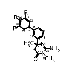 CN1C(=O)CC(C)(c2cccc(C3C=C(F)C(F)=C(F)C3)c2)N=C1N